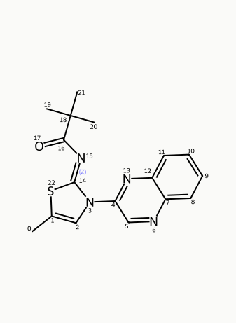 Cc1cn(-c2cnc3ccccc3n2)/c(=N/C(=O)C(C)(C)C)s1